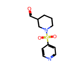 O=CC1CCCN(S(=O)(=O)c2ccncc2)C1